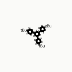 CC(C)(C)c1ccc(-c2cc(-c3ccc(C(C)(C)C)cc3)cc(-c3ccc(C(C)(C)C)cc3)c2)cc1